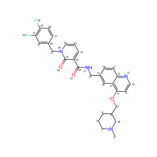 CN1CCCC(COc2ccnc3ccc(CNC(=O)c4cccn(Cc5ccc(F)c(F)c5)c4=O)cc23)C1